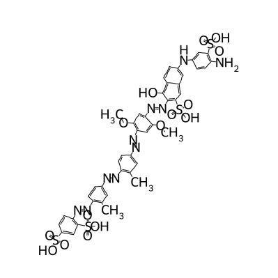 COc1cc(N=Nc2c(S(=O)(=O)O)cc3cc(Nc4ccc(N)c(S(=O)(=O)O)c4)ccc3c2O)c(OC)cc1N=Nc1ccc(N=Nc2ccc(N=Nc3ccc(S(=O)(=O)O)cc3S(=O)(=O)O)c(C)c2)c(C)c1